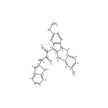 COc1ccc2c(c1)c(C(=O)C(=O)Nc1nc3ccccc3o1)c(C)n2Cc1ccc(Cl)cc1